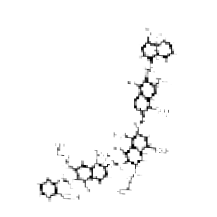 Nc1c(N=Nc2ccc3c(O)c(N=Nc4ccc(S(=O)(=O)O)c5ccccc45)c(S(=O)(=O)O)cc3c2S(=O)(=O)O)cc(S(=O)(=O)O)c2cc(SOOO)c(N=Nc3ccc4c(O)c(N=Nc5ccccc5C(=O)O)c(SOOO)cc4c3S(=O)(=O)O)c(O)c12